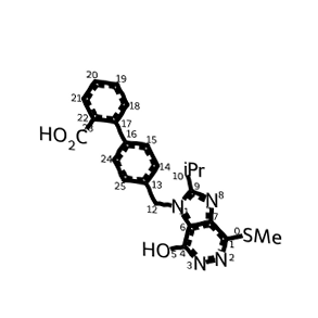 CSc1nnc(O)c2c1nc(C(C)C)n2Cc1ccc(-c2ccccc2C(=O)O)cc1